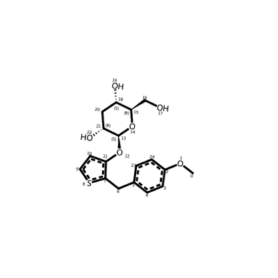 COc1ccc(Cc2sccc2O[C@@H]2O[C@H](CO)[C@@H](O)C[C@H]2O)cc1